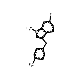 Cn1cc(Cc2ccc(C(F)(F)F)cc2)c2ccc(F)cc21